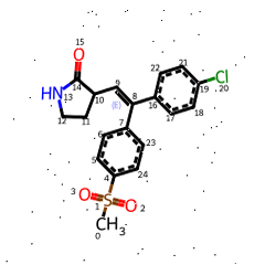 CS(=O)(=O)c1ccc(/C(=C\C2CCNC2=O)c2ccc(Cl)cc2)cc1